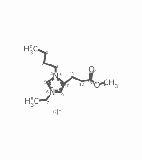 CCCC[n+]1cn(CC)cc1CCC(=O)OC.[I-]